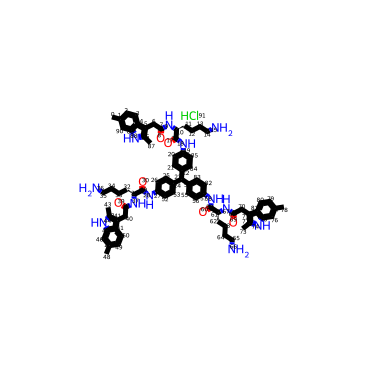 Cc1ccc2c(CC(=O)N[C@H](CCCCN)C(=O)Nc3ccc(C(c4ccc(NC(=O)[C@@H](CCCCN)NC(=O)Cc5c(C)[nH]c6cc(C)ccc56)cc4)c4ccc(NC(=O)[C@@H](CCCCN)NC(=O)Cc5c(C)[nH]c6cc(C)ccc56)cc4)cc3)c(C)[nH]c2c1.Cl